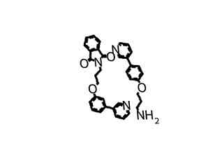 NCCCOc1ccc(-c2cccnc2)cc1.O=C1c2ccccc2C(=O)N1CCCOc1cccc(-c2cccnc2)c1